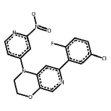 O=[N+]([O-])c1cc(N2CCOc3cnc(-c4cc(Cl)ccc4F)cc32)ccn1